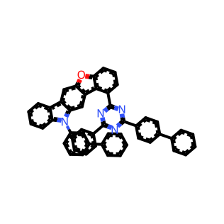 c1ccc(-c2ccc(-c3nc(-c4ccccc4)nc(-c4cccc5oc6cc7c8ccccc8n(-c8cccc(-c9ccccc9)c8)c7cc6c45)n3)cc2)cc1